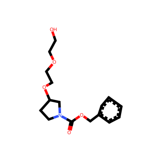 O=C(OCc1ccccc1)N1CCC(OCCOCCO)C1